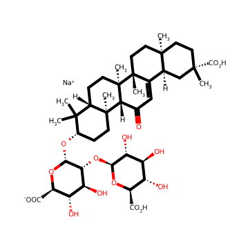 CC1(C)[C@@H](O[C@H]2O[C@H](C(=O)[O-])[C@@H](O)[C@H](O)[C@H]2O[C@@H]2O[C@H](C(=O)O)[C@@H](O)[C@H](O)[C@H]2O)CC[C@]2(C)[C@H]3C(=O)C=C4[C@@H]5C[C@@](C)(C(=O)O)CC[C@]5(C)CC[C@@]4(C)[C@]3(C)CC[C@@H]12.[Na+]